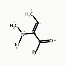 C/C=C(/C(=O)C(C)C)N(C)CC